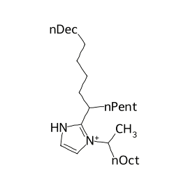 CCCCCCCCCCCCCCC(CCCCC)c1[nH]cc[n+]1C(C)CCCCCCCC